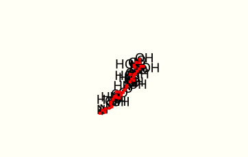 Cc1cc(OCCCC(=O)NCCNC(=O)[C@H](CS(=O)(=O)O)NC(=O)C(CS(=O)(=O)O)NC(=O)CN2CCN(CC(=O)O)CCN(CC(=O)O)CCN(CC(=O)O)CC2)cc(C)c1S(=O)(=O)N[C@@H](CNC(=O)c1ccc(CCc2ccc3c(n2)NCCC3)s1)C(=O)O